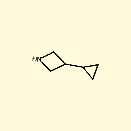 C1CC1C1CNC1